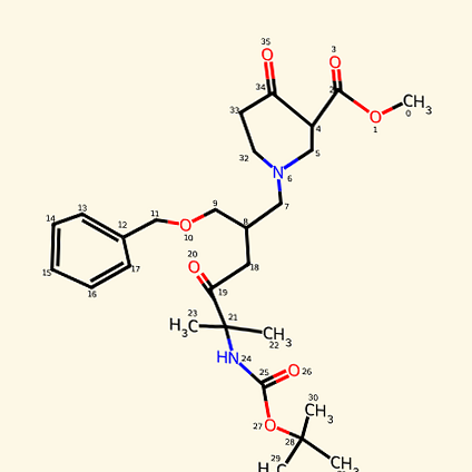 COC(=O)C1CN(CC(COCc2ccccc2)CC(=O)C(C)(C)NC(=O)OC(C)(C)C)CCC1=O